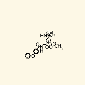 COC(=O)[C@@H]1C[C@@H]([S@@](C)(=N)=O)CN1C(=O)CNC(=O)c1ccc(Oc2ccccc2)cc1